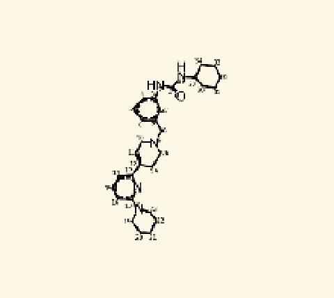 O=C(Nc1cccc(CN2CC=C(c3cccc(N4CCCCC4)n3)CC2)c1)NC1CCCCC1